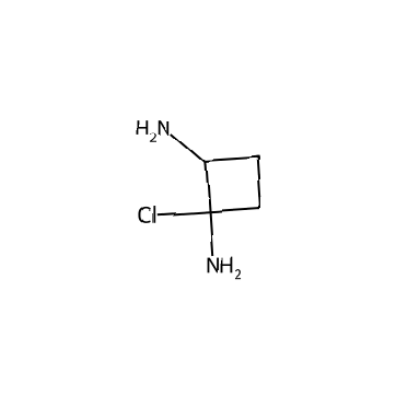 NC1CCC1(N)Cl